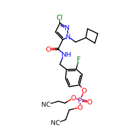 N#CCCOP(=O)(OCCC#N)Oc1ccc(CNC(=O)c2cc(Cl)nn2CC2CCC2)c(F)c1